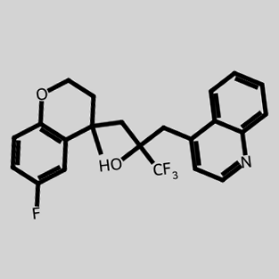 CC1(CC(O)(Cc2ccnc3ccccc23)C(F)(F)F)CCOc2ccc(F)cc21